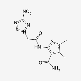 Cc1sc(NC(=O)Cn2cnc([N+](=O)[O-])n2)c(C(N)=O)c1C